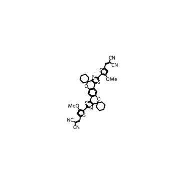 COc1cc(C=C(C#N)C#N)sc1-c1nc2c(s1)-c1cc3c(cc1OC21CCCCC1)-c1sc(-c2sc(C=C(C#N)C#N)cc2OC)nc1C1(CCCCC1)O3